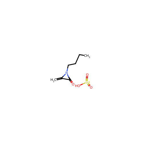 C=C1C(=O)N1CCCC.O=[SH](=O)O